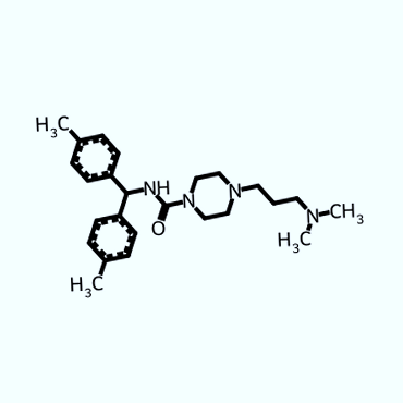 Cc1ccc(C(NC(=O)N2CCN(CCCN(C)C)CC2)c2ccc(C)cc2)cc1